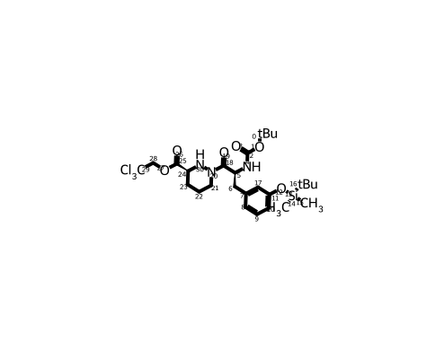 CC(C)(C)OC(=O)N[C@@H](Cc1cccc(O[Si](C)(C)C(C)(C)C)c1)C(=O)N1CCC[C@@H](C(=O)OCC(Cl)(Cl)Cl)N1